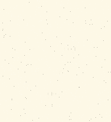 C=CCc1cc(C=O)oc1C(=O)O